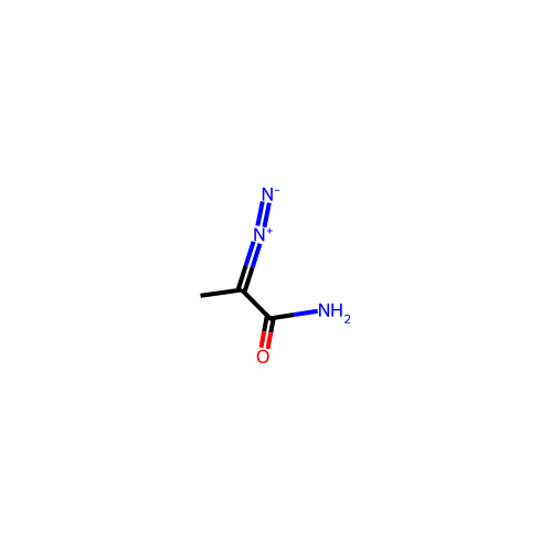 CC(=[N+]=[N-])C(N)=O